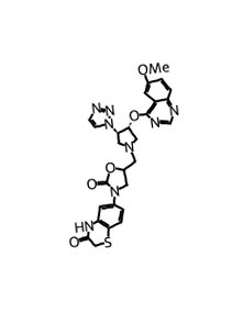 COc1ccc2ncnc(O[C@@H]3CN(CC4CN(c5ccc6c(c5)NC(=O)CS6)C(=O)O4)C[C@H]3n3ccnn3)c2c1